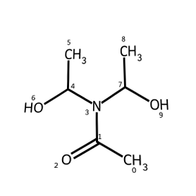 CC(=O)N(C(C)O)C(C)O